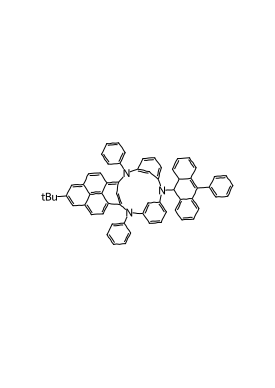 CC(C)(C)c1cc2ccc3c4cc(c5ccc(c1)c2c35)N(c1ccccc1)c1cccc(c1)N(C1c2ccccc2C(c2ccccc2)=C2C=CC=CC21)c1cccc(c1)N4c1ccccc1